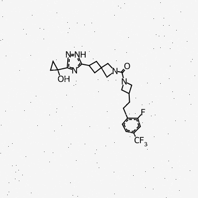 O=C(N1CC(CCc2ccc(C(F)(F)F)cc2F)C1)N1CC2(CC(c3nc(C4(O)CC4)n[nH]3)C2)C1